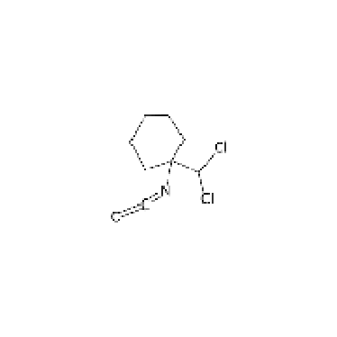 O=C=NC1(C(Cl)Cl)CCCCC1